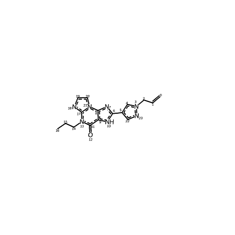 C=CCn1cc(-c2nc3c([nH]2)c(=O)n(CCC)c2nccn32)cn1